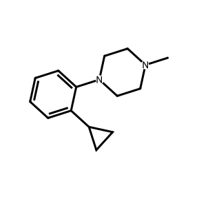 CN1CCN(c2ccccc2C2CC2)CC1